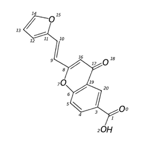 O=C(O)c1ccc2oc(C=Cc3ccco3)cc(=O)c2c1